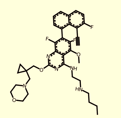 C#Cc1c(F)ccc2cccc(-c3c(F)c(OC)c4c(NCCNCCCC)nc(OCC5(CN6CCOCC6)CC5)nc4c3F)c12